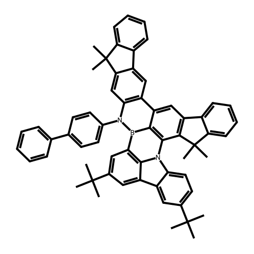 CC(C)(C)c1ccc2c(c1)c1cc(C(C)(C)C)cc3c1n2-c1c2c(cc4c1C(C)(C)c1ccccc1-4)-c1cc4c(cc1N(c1ccc(-c5ccccc5)cc1)B23)C(C)(C)c1ccccc1-4